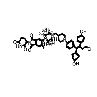 [2H]C1([2H])N(CC2CCN(c3ccc(C(=C(CCCl)c4ccc(O)cc4)c4ccc(O)cc4)cc3)CC2)C([2H])([2H])C([2H])([2H])N(c2cc3c(cc2F)C(=O)N(C2CCC(=O)NC2=O)C3=O)C1([2H])[2H]